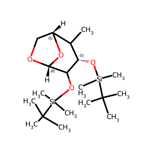 CC1[C@H](O[Si](C)(C)C(C)(C)C)C(O[Si](C)(C)C(C)(C)C)[C@@H]2OC[C@H]1O2